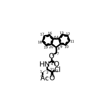 CC(=O)C[C@H](NC(=O)OCC1c2ccccc2-c2ccccc21)C(=O)Cl